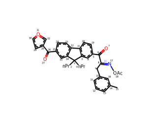 CCCC1(CCC)c2cc(C(=O)/C(Cc3cccc(C)c3)=N/OC(C)=O)ccc2-c2ccc(C(=O)c3ccoc3)cc21